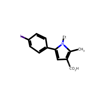 CCn1c(-c2ccc(I)cc2)cc(C(=O)O)c1C